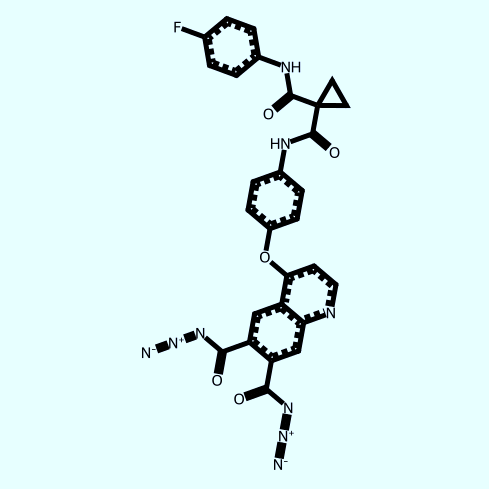 [N-]=[N+]=NC(=O)c1cc2nccc(Oc3ccc(NC(=O)C4(C(=O)Nc5ccc(F)cc5)CC4)cc3)c2cc1C(=O)N=[N+]=[N-]